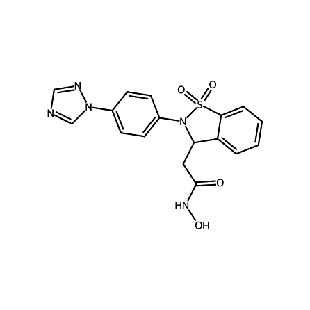 O=C(CC1c2ccccc2S(=O)(=O)N1c1ccc(-n2cncn2)cc1)NO